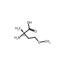 COCC[C@](C)(N)C(=O)O